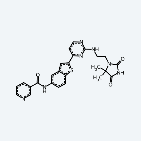 CC1(C)C(=O)NC(=O)N1CCNc1nccc(-c2cc3cc(NC(=O)c4cccnc4)ccc3s2)n1